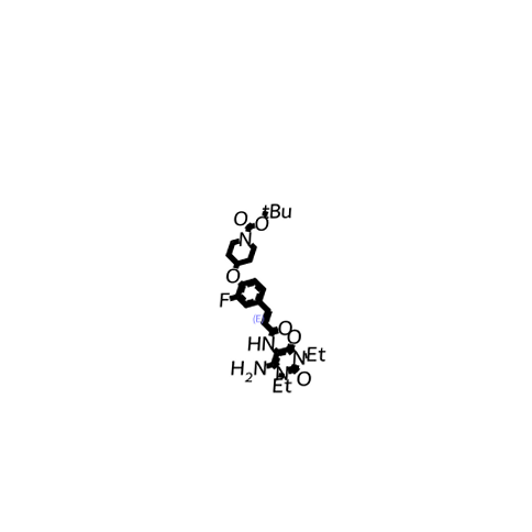 CCn1c(N)c(NC(=O)/C=C/c2ccc(OC3CCN(C(=O)OC(C)(C)C)CC3)c(F)c2)c(=O)n(CC)c1=O